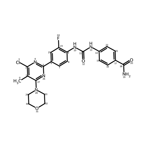 Cc1c(Cl)nc(-c2ccc(NC(=O)Nc3ccc(C(N)=O)cc3)c(F)c2)nc1N1CCOCC1